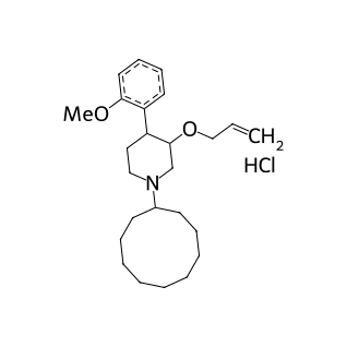 C=CCOC1CN(C2CCCCCCCCC2)CCC1c1ccccc1OC.Cl